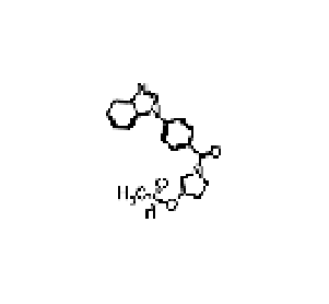 CS(=O)(=O)OC1CCN(C(=O)c2ccc(-n3cnc4ccccc43)cc2)C1